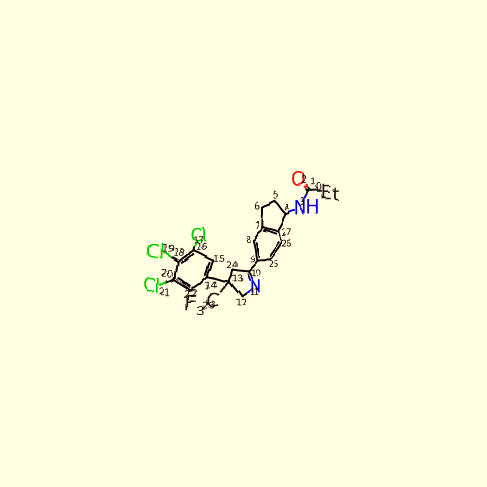 CCC(=O)NC1CCc2cc(C3=NCC(c4cc(Cl)c(Cl)c(Cl)c4)(C(F)(F)F)C3)ccc21